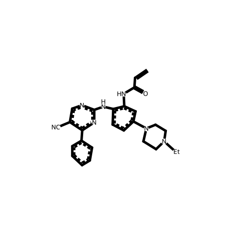 C=CC(=O)Nc1cc(N2CCN(CC)CC2)ccc1Nc1ncc(C#N)c(-c2ccccc2)n1